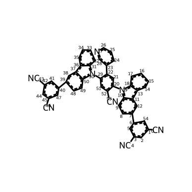 N#Cc1cc(C#N)cc(-c2ccc3c(c2)c2ccccc2n3-c2cc(-c3cccnc3)c(-n3c4ccccc4c4cc(-c5cc(C#N)cc(C#N)c5)ccc43)cc2C#N)c1